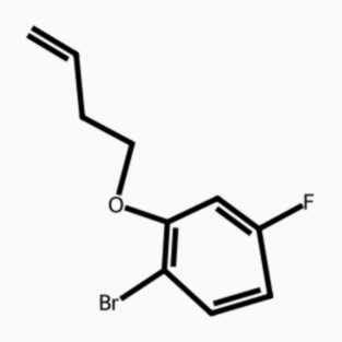 C=CCCOc1cc(F)ccc1Br